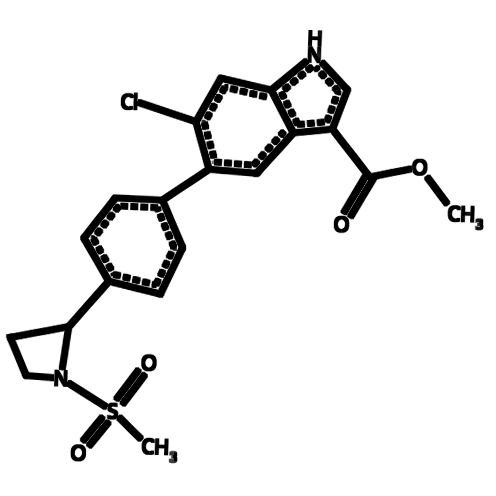 COC(=O)c1c[nH]c2cc(Cl)c(-c3ccc(C4CCN4S(C)(=O)=O)cc3)cc12